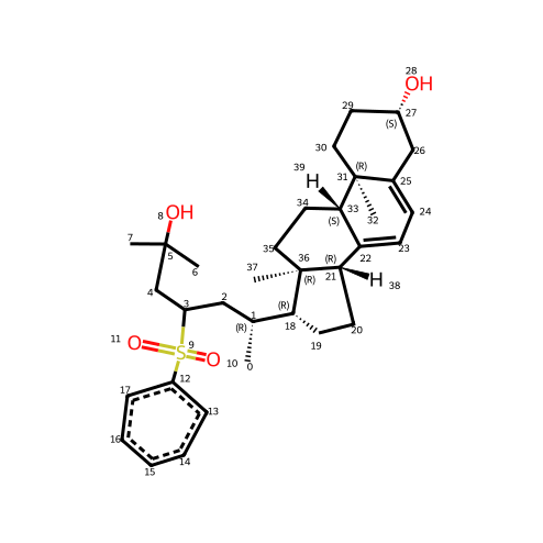 C[C@H](CC(CC(C)(C)O)S(=O)(=O)c1ccccc1)[C@H]1CC[C@H]2C3=CC=C4C[C@@H](O)CC[C@]4(C)[C@H]3CC[C@]12C